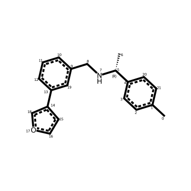 Cc1ccc([C@@H](C)NCc2cccc(-c3ccoc3)c2)cc1